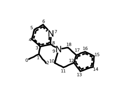 CC(C)c1cccnc1N1CCc2ccccc2C1